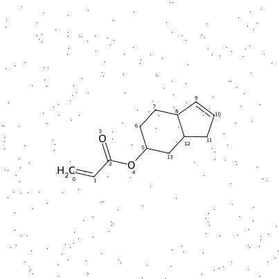 C=CC(=O)OC1CCC2C=CCC2C1